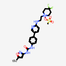 CC(C)(C)c1cc(NC(=O)Nc2ccc(-c3ccc(NCC[N+]4(OS(C)(=O)=O)CCC(F)(F)CC4)nc3)cc2)no1